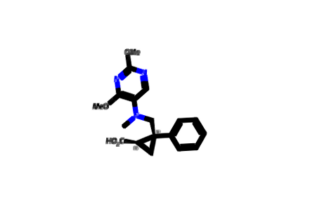 COc1ncc(N(C)C[C@@]2(c3ccccc3)C[C@H]2C(=O)O)c(OC)n1